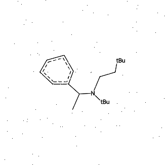 CC(c1ccccc1)N(CCC(C)(C)C)C(C)(C)C